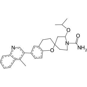 Cc1c(-c2ccc3c(c2)CCC2(CCN(C(N)=O)C(OC(C)C)C2)O3)cnc2ccccc12